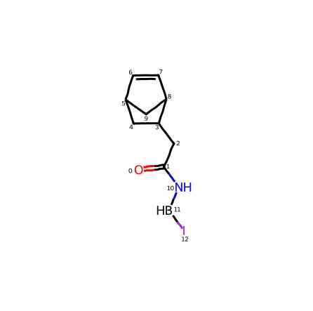 O=C(CC1CC2C=CC1C2)NBI